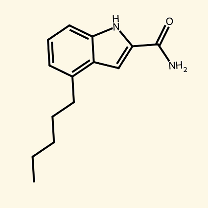 CCCCCc1cccc2[nH]c(C(N)=O)cc12